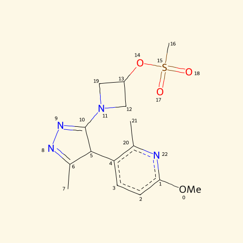 COc1ccc(C2C(C)=NN=C2N2CC(OS(C)(=O)=O)C2)c(C)n1